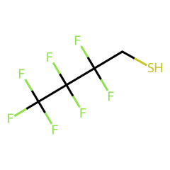 FC(F)(F)C(F)(F)C(F)(F)CS